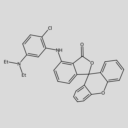 CCN(CC)c1ccc(Cl)c(Nc2cccc3c2C(=O)OC32c3ccccc3Oc3ccccc32)c1